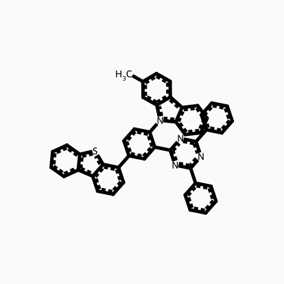 Cc1ccc2c3ccccc3n(-c3ccc(-c4cccc5c4sc4ccccc45)cc3-c3nc(-c4ccccc4)nc(-c4ccccc4)n3)c2c1